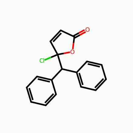 O=C1C=CC(Cl)(C(c2ccccc2)c2ccccc2)O1